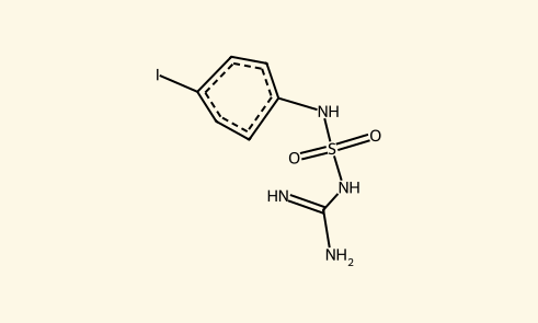 N=C(N)NS(=O)(=O)Nc1ccc(I)cc1